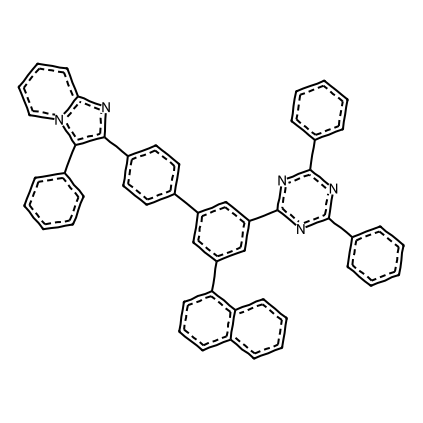 c1ccc(-c2nc(-c3ccccc3)nc(-c3cc(-c4ccc(-c5nc6ccccn6c5-c5ccccc5)cc4)cc(-c4cccc5ccccc45)c3)n2)cc1